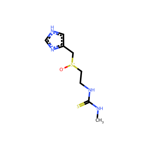 CNC(=S)NCC[S+]([O-])Cc1c[nH]cn1